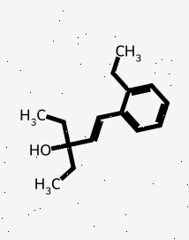 CCc1ccccc1C=CC(O)(CC)CC